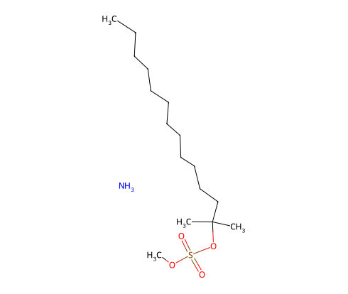 CCCCCCCCCCCCC(C)(C)OS(=O)(=O)OC.N